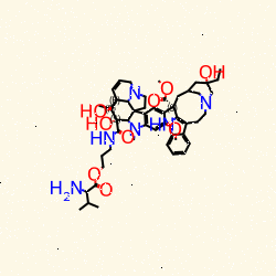 CCC1(O)CC2CN(CCc3c([nH]c4ccccc34)[C@@](C(=O)OC)(c3cc4c(cc3OC)N(C)C3C45CCN4CC=C[C@](CC)(C45)[C@@H](O)[C@]3(O)C(=O)NCCCOC(=O)C(N)C(C)C)C2)C1